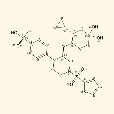 C[C@@](O)(c1ccc(N2CCN(S(=O)(=O)c3cccs3)C[C@@H]2CN2CCS(O)(O)C[C@H]2C2CC2)cc1)C(F)(F)F